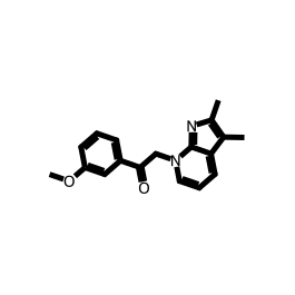 COc1cccc(C(=O)Cn2cccc3c(C)c(C)nc2-3)c1